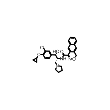 O=C(N[C@H](CN1CCCC1)[C@H](O)c1ccc(OC2CC2)c(Cl)c1)C1=NOCc2cc3ccccc3cc21